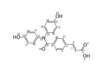 O=C(O)/C=C/c1ccc(C(=O)N(c2ccc(O)cc2)c2ccc(O)cc2)cc1